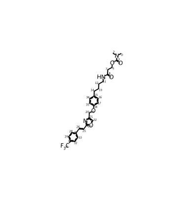 CN(C)C(=O)OCCC(=O)NCCCCc1ccc(OCc2coc(C=Cc3ccc(C(F)(F)F)cc3)n2)cc1